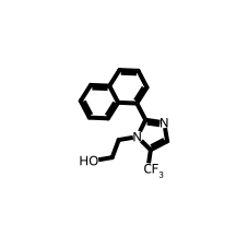 OCCn1c(C(F)(F)F)cnc1-c1cccc2ccccc12